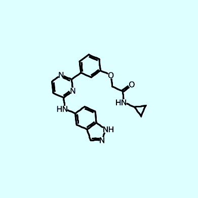 O=C(COc1cccc(-c2nccc(Nc3ccc4[nH]ncc4c3)n2)c1)NC1CC1